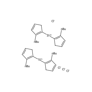 CCCCC1=[C]([Ti+2][C]2=C(CCCC)C=CC2)CC=C1.CCCCC1=[C]([Zr+2][C]2=C(CCCC)C=CC2)CC=C1.[Cl-].[Cl-].[Cl-].[Cl-]